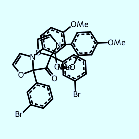 COc1ccc(N2C=COC2(C(=O)C2(c3cccc(Br)c3)OC=CN2c2ccc(OC)cc2OC)c2cccc(Br)c2)c(OC)c1